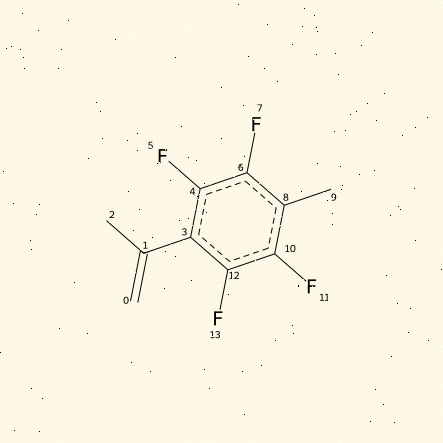 C=C(C)c1c(F)c(F)c(C)c(F)c1F